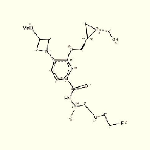 COC1CN(c2ccc(C(=O)N[C@@H](C)COCCF)nc2OC[C@H]2C[C@@H]2CO)C1